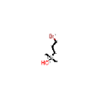 C[Si](C)(O)CCCBr